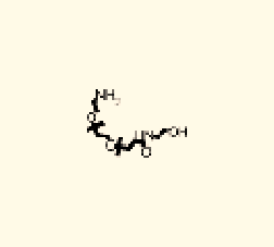 CC(C)(CCOC(C)(C)CCC(=O)NCCO)OCCN